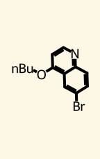 CCCCOc1ccnc2ccc(Br)cc12